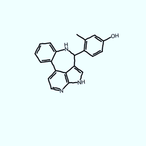 Cc1cc(O)ccc1C1Nc2ccccc2-c2ccnc3[nH]cc1c23